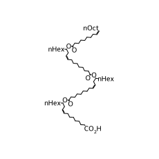 CCCCCCCC/C=C\CCCCCCCC(=O)OC(C/C=C\CCCCCCCC(=O)OC(C/C=C\CCCCCCCC(=O)OC(C/C=C\CCCCCCCC(=O)O)CCCCCC)CCCCCC)CCCCCC